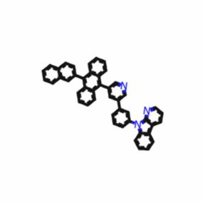 c1cc(-c2cncc(-c3c4ccccc4c(-c4ccc5ccccc5c4)c4ccccc34)c2)cc(-n2c3ccccc3c3cccnc32)c1